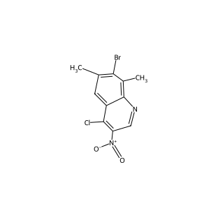 Cc1cc2c(Cl)c([N+](=O)[O-])cnc2c(C)c1Br